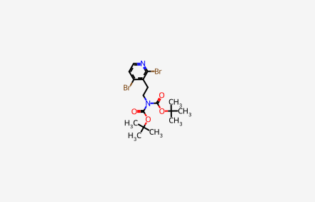 CC(C)(C)OC(=O)N(CCc1c(Br)ccnc1Br)C(=O)OC(C)(C)C